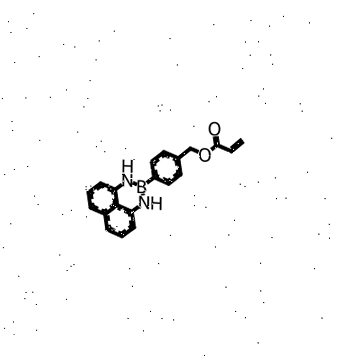 C=CC(=O)OCc1ccc(B2Nc3cccc4cccc(c34)N2)cc1